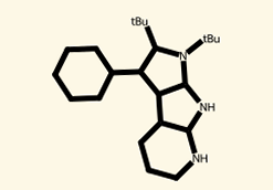 CC(C)(C)C1C(C2CCCCC2)C2C3CCCNC3NC2N1C(C)(C)C